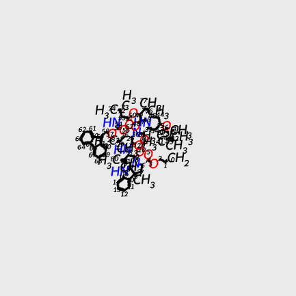 C=CCOC(=O)[C@@H]1C[C@@]2(C)c3ccccc3N[C@H]2N1C(=O)[C@H](NC(=O)[C@H](CC(C)C)NC(=O)[C@H]1C[C@@H](O[Si](C)(C)C(C)(C)C)CCN1C(=O)[C@@H](OC(=O)[C@H](NC(=O)OCC1c2ccccc2-c2ccccc21)C(C)C)C(C)C)C(C)C